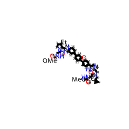 CC[C@@H]1CCN(C(=O)CNC(=O)OC)C1c1nc2ccc(-c3ccc4c(c3)oc3cc(-c5cnc(CN(CC6(C)CC6)C(=O)CNC(=O)OC)[nH]5)ccc34)cc2[nH]1